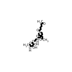 CC(=O)CCCCC(=O)N1CCC(CC(C)=O)(CC(=O)NCCO[C@@H]2O[C@@H](C)[C@@H](O)[C@@H](O)[C@@H]2O)CC1